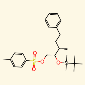 Cc1ccc(S(=O)(=O)OC[C@@H](O[Si](C)(C)C(C)(C)C)[C@H](C)CCc2ccccc2)cc1